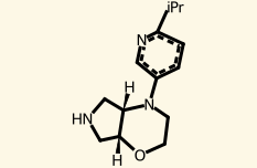 CC(C)c1ccc(N2CCO[C@@H]3CNC[C@@H]32)cn1